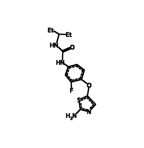 CCC(CC)NC(=O)Nc1ccc(Oc2cnc(N)s2)c(F)c1